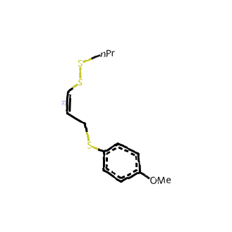 CCCSS/C=C\CSc1ccc(OC)cc1